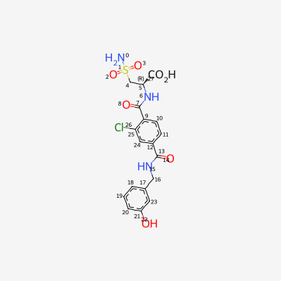 NS(=O)(=O)C[C@H](NC(=O)c1ccc(C(=O)NCc2cccc(O)c2)cc1Cl)C(=O)O